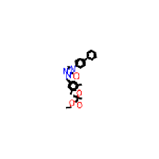 CCOC(=O)C(C)(C)Oc1c(C)cc(Cn2ncn(-c3ccc(-c4ccccc4)cc3)c2=O)cc1C